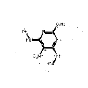 CCNc1nc(OC)nc(NC(C)(C)C)c1[N+](=O)[O-]